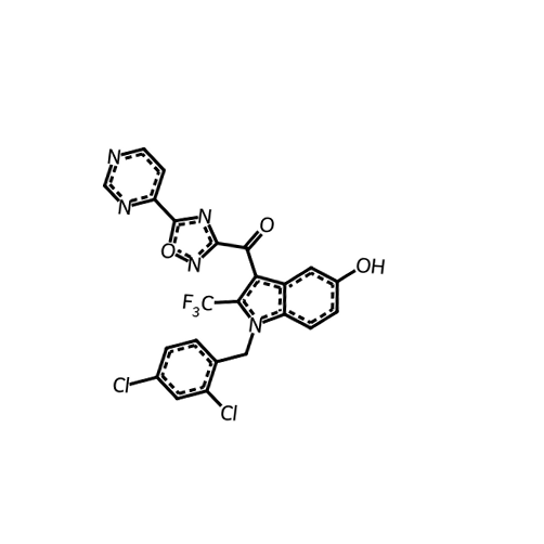 O=C(c1noc(-c2ccncn2)n1)c1c(C(F)(F)F)n(Cc2ccc(Cl)cc2Cl)c2ccc(O)cc12